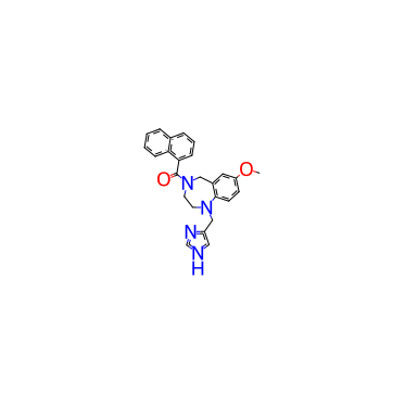 COc1ccc2c(c1)CN(C(=O)c1cccc3ccccc13)CCN2Cc1c[nH]cn1